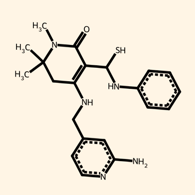 CN1C(=O)C(C(S)Nc2ccccc2)=C(NCc2ccnc(N)c2)CC1(C)C